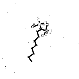 CCCCCCCCC([Si](Cl)(Cl)Cl)[Si](Cl)(Cl)Cl